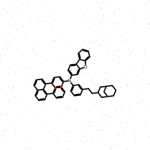 c1ccc(-c2cccc3cccc(-c4ccc(N(c5cccc(CCC6CC7CCCC(C7)C6)c5)c5ccc6c(c5)oc5ccccc56)cc4)c23)cc1